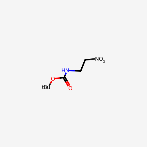 CC(C)(C)OC(=O)NCC[N+](=O)[O-]